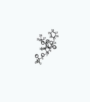 CN(C)C(=O)COC[C@H]1C[C@@H](C(=O)OCc2ccccc2)N(C(=O)OC(C)(C)C)[C@@H]1I